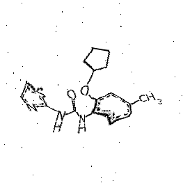 Cc1ccc(NC(=O)Nc2nccs2)c(OC2CCCC2)c1